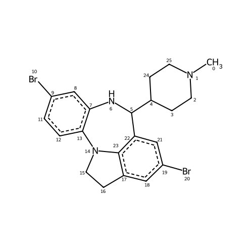 CN1CCC(C2Nc3cc(Br)ccc3N3CCc4cc(Br)cc2c43)CC1